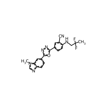 Cn1cnc2ccc(-c3nnc(-c4ccc(NCC(C)(F)F)c(C#N)c4)o3)cc21